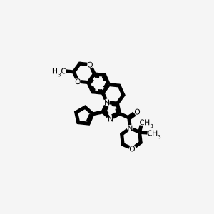 CC1COc2cc3c(cc2O1)-n1c(C2=CCCC2)nc(C(=O)N2CCOCC2(C)C)c1CC3